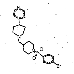 O=S(=O)(c1ccc(Br)cc1)N1CCC(CN2CCC(c3ccncc3)CC2)CC1